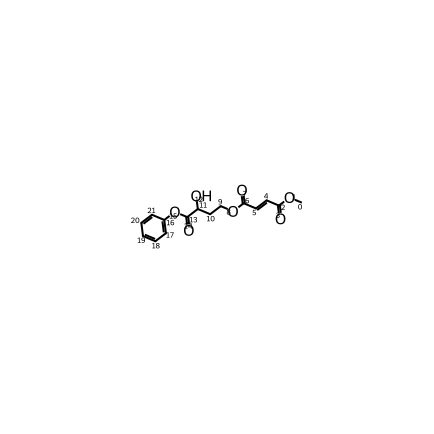 COC(=O)C=CC(=O)OCCC(O)C(=O)Oc1ccccc1